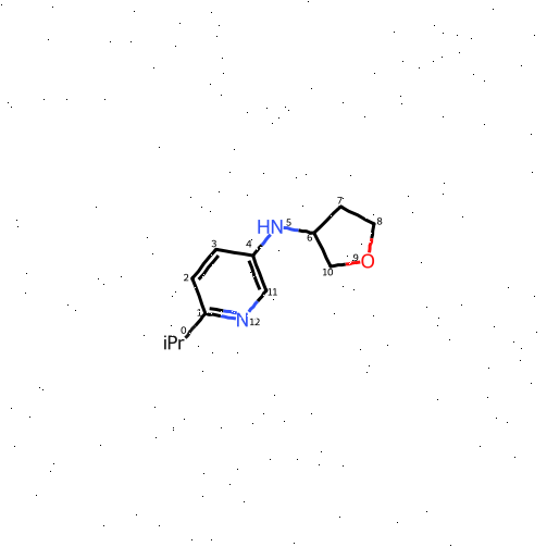 CC(C)c1ccc(NC2CCOC2)cn1